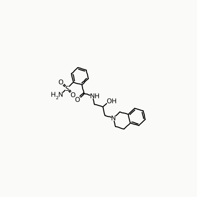 NS(=O)(=O)c1ccccc1C(=O)NCC(O)CN1CCc2ccccc2C1